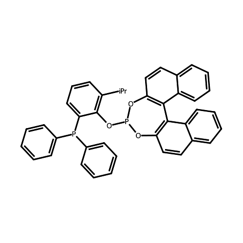 CC(C)c1cccc(P(c2ccccc2)c2ccccc2)c1Op1oc2ccc3ccccc3c2c2c(ccc3ccccc32)o1